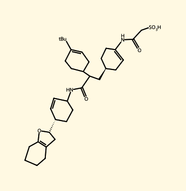 CC(C)(C)C1=CCC(C(C[C@@H]2CC=C(NC(=O)CS(=O)(=O)O)CC2)C(=O)NC2C=C[C@@H](C3CC4=C(CCCC4)O3)CC2)CC1